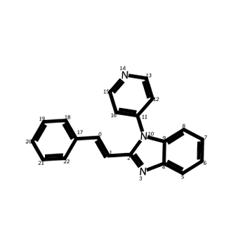 C(=Cc1nc2ccccc2n1-c1ccncc1)c1ccccc1